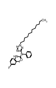 CCCCCCCCCCCCn1nnc(N(C(=O)Nc2ccc(F)cc2F)c2ccccc2)n1